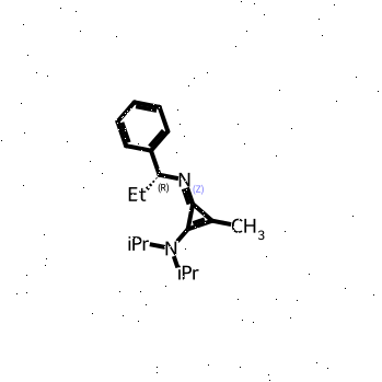 CC[C@@H](/N=c1/c(C)c1N(C(C)C)C(C)C)c1ccccc1